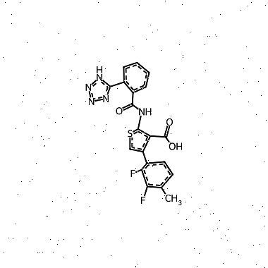 Cc1ccc(-c2csc(NC(=O)c3ccccc3-c3nnn[nH]3)c2C(=O)O)c(F)c1F